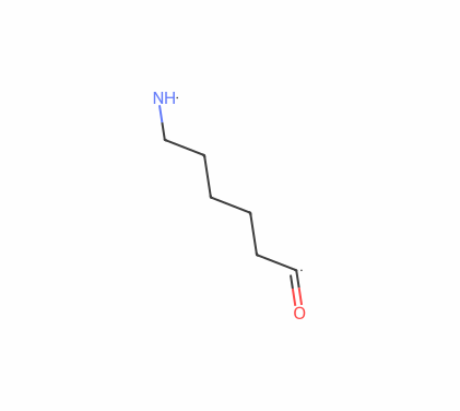 [NH]CCCCC[C]=O